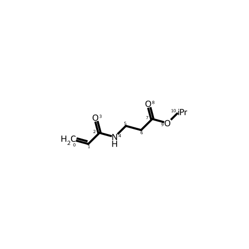 C=CC(=O)NCCC(=O)OC(C)C